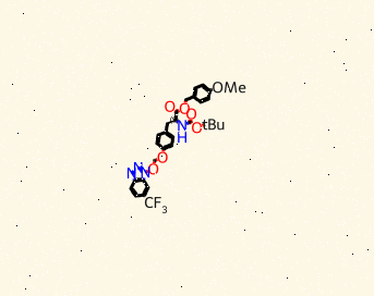 COc1ccc(COC(=O)[C@H](Cc2ccc(OCOn3nnc4ccc(C(F)(F)F)cc43)cc2)NC(=O)OC(C)(C)C)cc1